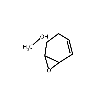 C1=CC2OC2CC1.CO